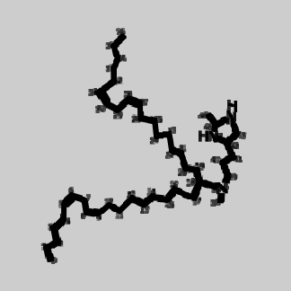 CCCCC/C=C\C/C=C\CCCCCCCCC(CCCCCCCC/C=C\C/C=C\CCCCC)N(C)CCCC1CNC(C)N1